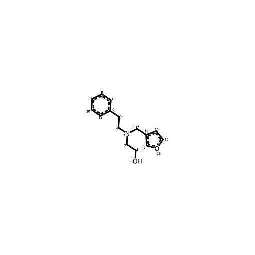 OCCN(CCc1ccccc1)Cc1ccoc1